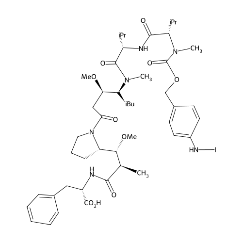 CC[C@H](C)[C@@H]([C@@H](CC(=O)N1CCC[C@H]1[C@H](OC)[C@@H](C)C(=O)N[C@@H](Cc1ccccc1)C(=O)O)OC)N(C)C(=O)[C@@H](NC(=O)[C@H](C(C)C)N(C)C(=O)OCc1ccc(NI)cc1)C(C)C